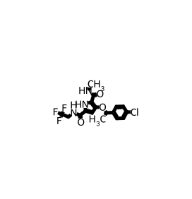 CNC(=O)c1[nH]c(C(=O)NCC(F)(F)F)cc1OC(C)c1ccc(Cl)cc1